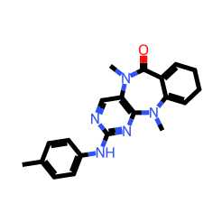 Cc1ccc(Nc2ncc3c(n2)N(C)C2=CCCC=C2C(=O)N3C)cc1